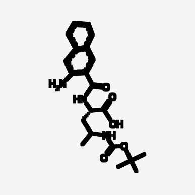 CC(C[C@H](NC(=O)c1cc2ccccc2cc1N)C(=O)O)NC(=O)OC(C)(C)C